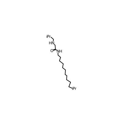 CC(C)CCCCCCCCCCCNC(=O)CNCC(C)C